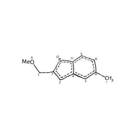 [CH2]OCc1cc2cc(C)ccc2s1